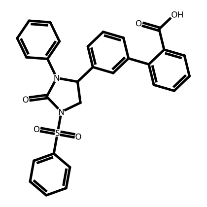 O=C(O)c1ccccc1-c1cccc(C2CN(S(=O)(=O)c3ccccc3)C(=O)N2c2ccccc2)c1